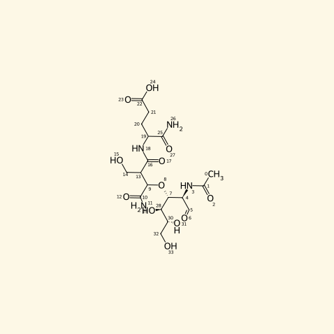 CC(=O)N[C@@H](C=O)[C@@H](OC(C(N)=O)C(CO)C(=O)NC(CCC(=O)O)C(N)=O)[C@H](O)[C@H](O)CO